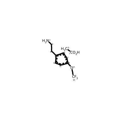 CC(=O)O.NCCc1ccc(OC(F)(F)F)cc1